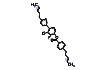 C/C=C/CCc1ccc(C(=O)Oc2ccc(-c3ccc(CC/C=C/C)cc3)c(Cl)c2F)cc1